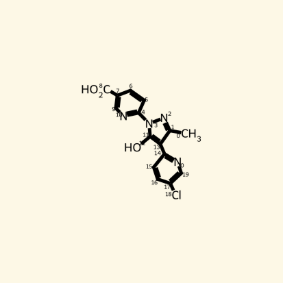 Cc1nn(-c2ccc(C(=O)O)cn2)c(O)c1-c1ccc(Cl)cn1